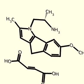 COc1ccc2c(c1)-c1c(cc(C)n1C[C@H](C)N)C2.O=C(O)C=CC(=O)O